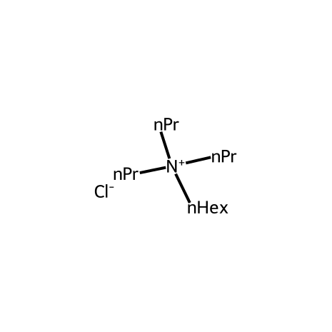 CCCCCC[N+](CCC)(CCC)CCC.[Cl-]